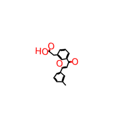 Cc1cccc(-c2cc(=O)c3cccc(CC(=O)O)c3o2)c1